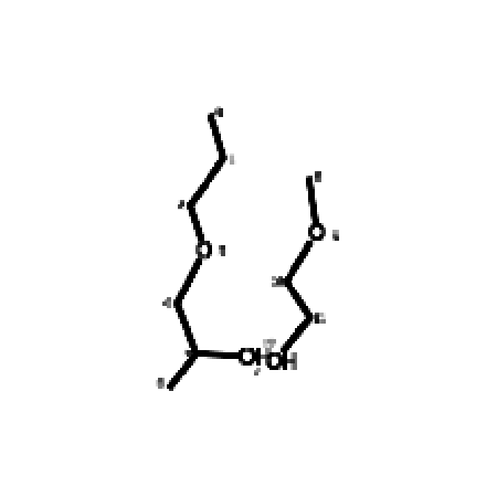 CCCOCC(C)O.COCCO